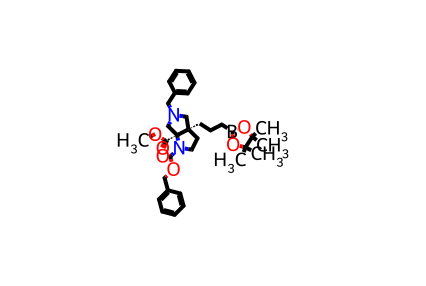 COC(=O)[C@]12CN(Cc3ccccc3)C[C@@]1(CCCB1OC(C)(C)C(C)(C)O1)CCN2C(=O)OCc1ccccc1